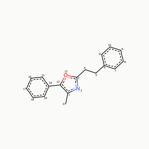 Cc1nc(CCc2ccccc2)oc1-c1ccccc1